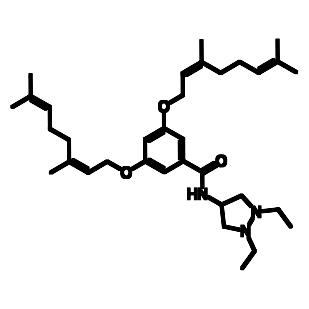 CCN1CC(NC(=O)c2cc(OCC=C(C)CCC=C(C)C)cc(OCC=C(C)CCC=C(C)C)c2)CN1CC